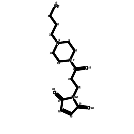 CC(C)CCCN1CCN(C(=O)CCN2C(=O)C=CC2=O)CC1